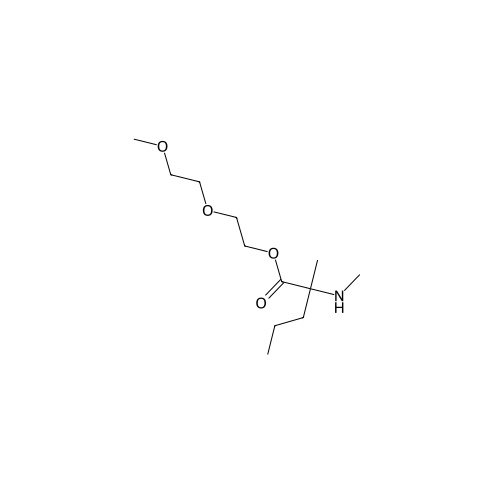 CCCC(C)(NC)C(=O)OCCOCCOC